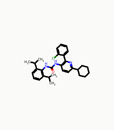 CC(C)c1cccc(C(C)C)c1NC(=O)Nc1ccc(C2CCCCC2)nc1-c1ccccc1Cl